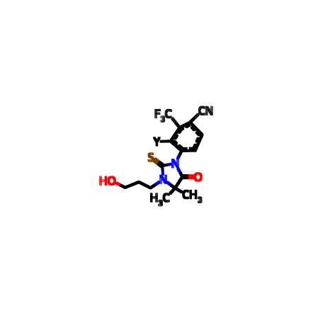 CC1(C)C(=O)N(c2ccc(C#N)c(C(F)(F)F)[c]2[Y])C(=S)N1CCCO